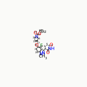 Cn1nc(C2CCC(=O)NC2=O)c2c(F)c(OC[C@@H]3CCN(C(=O)OC(C)(C)C)C3)ccc21